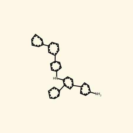 Nc1ccc(-c2ccc(Nc3ccc(-c4cccc(-c5ccccc5)c4)cc3)c(-c3ccccc3)c2)cc1